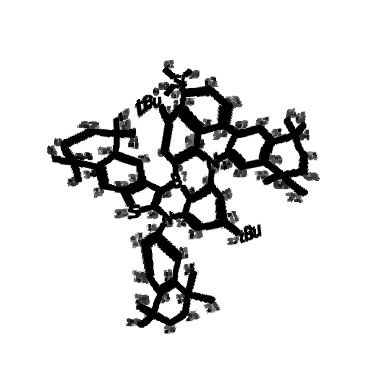 CC(C)(C)c1ccc2c(c1)B1c3c(cc(C(C)(C)C)cc3N(c3ccc4c(c3)C(C)(C)CCC4(C)C)c3sc4cc5c(cc4c31)C(C)(C)CCC5(C)C)N2c1cc2c(cc1-c1ccc([Si](C)(C)C)cc1)C(C)(C)CCC2(C)C